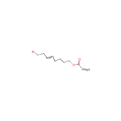 CCCCCCCC(=O)OCCCCC=CCCBr